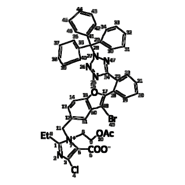 CCC1=NC(Cl)=C(C(=O)[O-])[N+]1(CCOC(C)=O)Cc1ccc2oc(-c3ccccc3-c3nnn(C(c4ccccc4)(c4ccccc4)c4ccccc4)n3)c(Br)c2c1